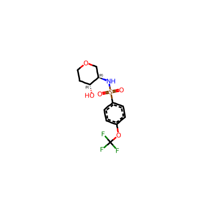 O=S(=O)(N[C@@H]1COCC[C@H]1O)c1ccc(OC(F)(F)F)cc1